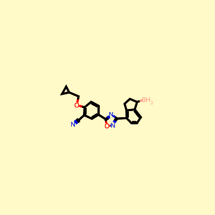 BC1CCc2c(-c3noc(-c4ccc(OCC5CC5)c(C#N)c4)n3)cccc21